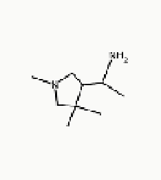 CC(N)C1CN(C)CC1(C)C